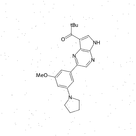 COc1cc(-c2cnc3[nH]cc(C(=O)C(C)(C)C)c3n2)cc(N2CCCC2)c1